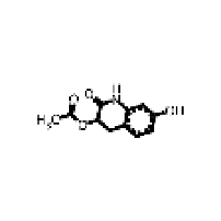 CC(=O)OC1Cc2ccc(O)cc2NC1=O